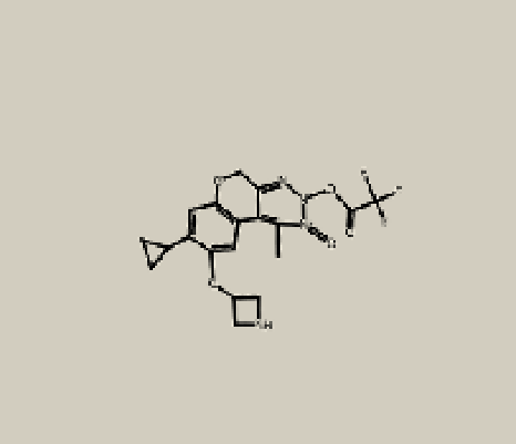 Cc1c2c(nn(OC(=O)C(F)(F)F)[n+]1=O)COc1cc(C3CC3)c(OC3CNC3)cc1-2